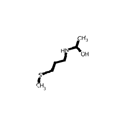 CSCCCNC(C)O